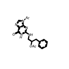 CC(=O)OC(CNc1nc2c(ncn2C(C)=O)c(=O)[nH]1)Cc1ccccc1